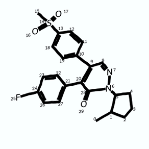 CC1CCCC1n1ncc(-c2ccc(S(C)(=O)=O)cc2)c(-c2ccc(F)cc2)c1=O